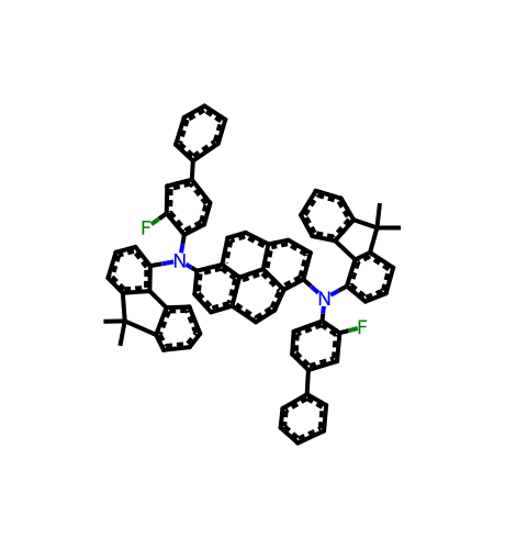 CC1(C)c2ccccc2-c2c(N(c3ccc(-c4ccccc4)cc3F)c3ccc4ccc5c(N(c6ccc(-c7ccccc7)cc6F)c6cccc7c6-c6ccccc6C7(C)C)ccc6ccc3c4c65)cccc21